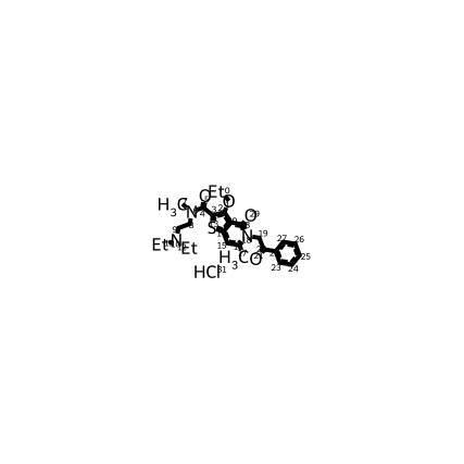 CCOc1c(C(=O)N(C)CCN(CC)CC)sc2cc(C)n(CC(=O)c3ccccc3)c(=O)c12.Cl